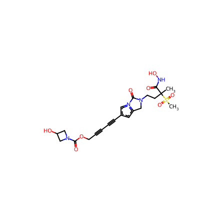 CC(CCN1Cc2cc(C#CC#CCOC(=O)N3CC(O)C3)cn2C1=O)(C(=O)NO)S(C)(=O)=O